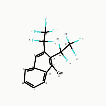 FC(F)(F)C(F)(F)c1cc2ccccc2[c]([Ga])c1C(F)(F)C(F)(F)F